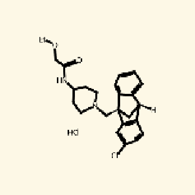 CCOCC(=O)NC1CCN(C[C@]23C[C@H](c4ccccc42)c2ccc(Cl)cc23)CC1.Cl